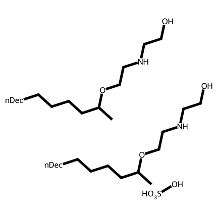 CCCCCCCCCCCCCCC(C)OCCNCCO.CCCCCCCCCCCCCCC(C)OCCNCCO.O=S(=O)(O)O